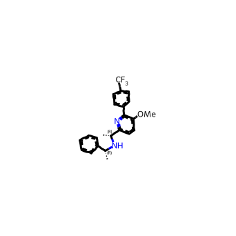 COc1ccc([C@@H](C)N[C@H](C)c2ccccc2)nc1-c1ccc(C(F)(F)F)cc1